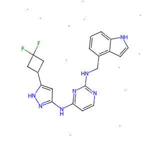 FC1(F)CC(c2cc(Nc3ccnc(NCc4cccc5[nH]ccc45)n3)n[nH]2)C1